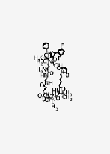 CC(C)C(NC(=O)CCCCCN1C(=O)C=CC1=O)C(=O)N[C@@H](C)C(=O)N[C@@H](CCC(=O)NCCNC(=O)[C@@H](N)CCN(C(=O)CO)[C@@H](c1cc(-c2cc(F)ccc2F)cn1Cc1ccccc1)C(C)(C)C)C(=O)O